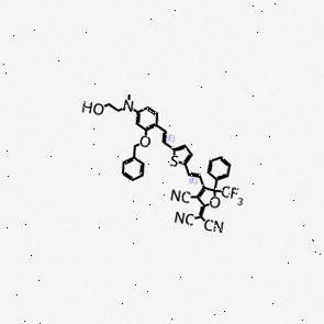 CN(CCO)c1ccc(/C=C/c2ccc(/C=C/C3=C(C#N)C(=C(C#N)C#N)OC3(c3ccccc3)C(F)(F)F)s2)c(OCc2ccccc2)c1